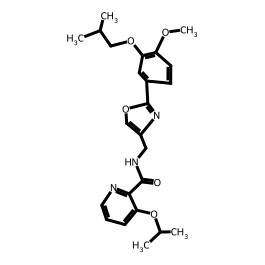 COc1ccc(-c2nc(CNC(=O)c3ncccc3OC(C)C)co2)cc1OCC(C)C